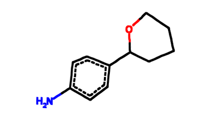 Nc1ccc(C2CCCCO2)cc1